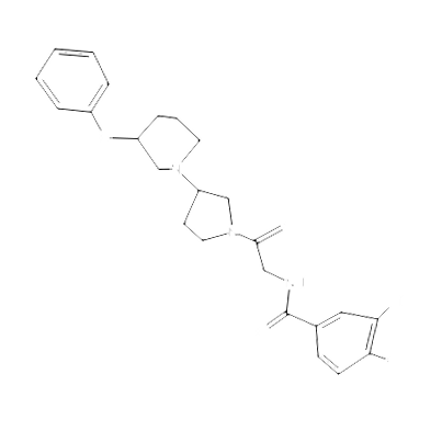 O=C(NCC(=O)N1CCC(N2CCCC(Oc3ccccc3)C2)C1)c1ccc(Cl)c(Cl)c1